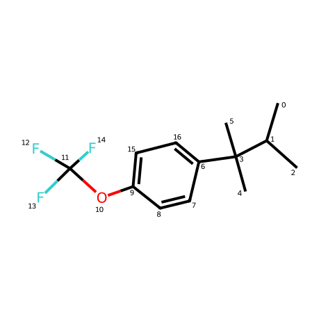 CC(C)C(C)(C)c1ccc(OC(F)(F)F)cc1